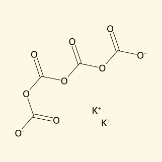 O=C([O-])OC(=O)OC(=O)OC(=O)[O-].[K+].[K+]